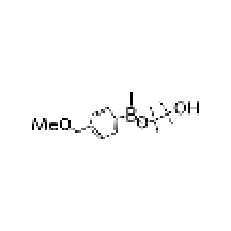 COCc1ccc(B(I)OC(C)(C)C(C)(C)O)cc1